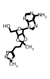 Cn1cc(CCC2(C)OC3C(CO)OC(n4cnc5c(N)ncnc54)C3O2)nn1